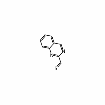 S=Cc1ncc2ccccc2n1